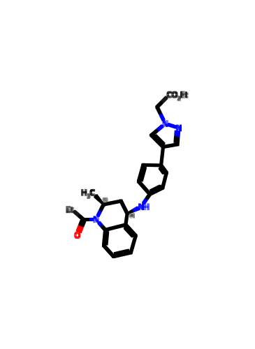 CCOC(=O)Cn1cc(-c2ccc(N[C@@H]3C[C@H](C)N(C(=O)CC)c4ccccc43)cc2)cn1